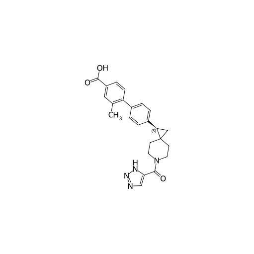 Cc1cc(C(=O)O)ccc1-c1ccc([C@H]2CC23CCN(C(=O)c2cnn[nH]2)CC3)cc1